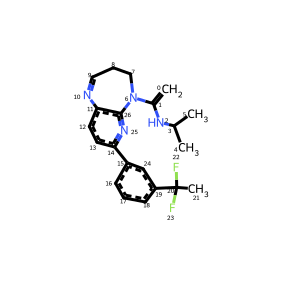 C=C(NC(C)C)N1CCC=Nc2ccc(-c3cccc(C(C)(F)F)c3)nc21